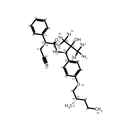 [2H]C([2H])([2H])C(O)([C@H](NC(=O)[C@@H](CC#N)c1ccccc1)c1ccc(OC[C@@H](C)CCC)cc1)C([2H])([2H])[2H]